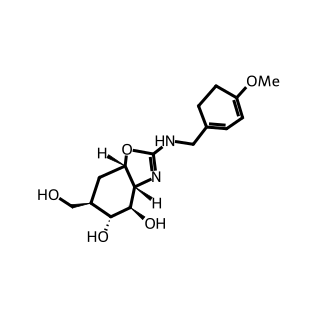 COC1=CC=C(CNC2=N[C@@H]3[C@@H](O)[C@H](O)[C@@H](CO)C[C@@H]3O2)CC1